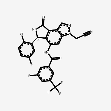 N#CCn1ncc2c3c(c(NC(=O)c4cc(F)cc(C(F)(F)F)c4)cc21)[C@H](c1cc(F)ccc1Cl)NC3=O